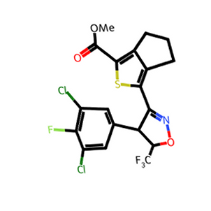 COC(=O)c1sc(C2=NOC(C(F)(F)F)C2c2cc(Cl)c(F)c(Cl)c2)c2c1CCC2